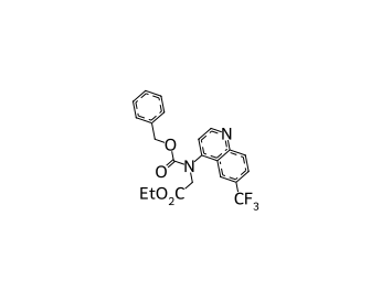 CCOC(=O)CN(C(=O)OCc1ccccc1)c1ccnc2ccc(C(F)(F)F)cc12